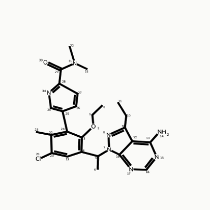 CCOc1c(C(C)n2nc(CC)c3c(N)ncnc32)cc(Cl)c(C)c1-c1ccc(C(=O)N(C)C)nc1